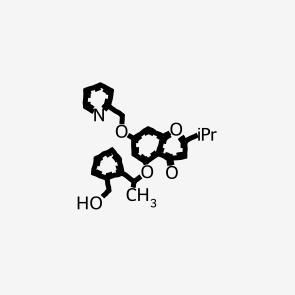 CC(C)c1cc(=O)c2c(OC(C)c3ccccc3CO)cc(OCc3ccccn3)cc2o1